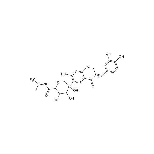 CC(NC(=O)C1OCC(O)(c2cc3c(cc2O)OC/C(=C\c2ccc(O)c(O)c2)C3=O)C(O)C1O)C(F)(F)F